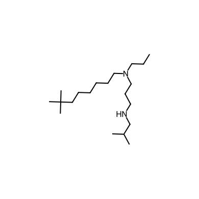 CCCN(CCCCCCC(C)(C)C)CCCNCC(C)C